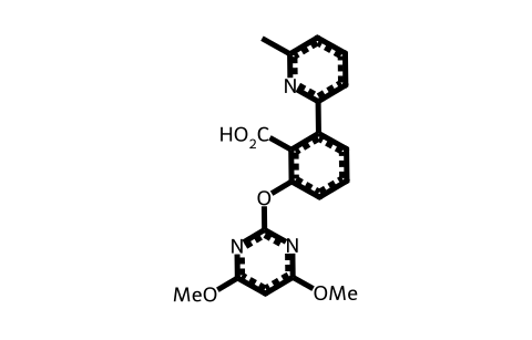 COc1cc(OC)nc(Oc2cccc(-c3cccc(C)n3)c2C(=O)O)n1